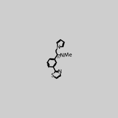 CN[C@H](Cn1cccc1)c1cccc(-c2nccs2)c1